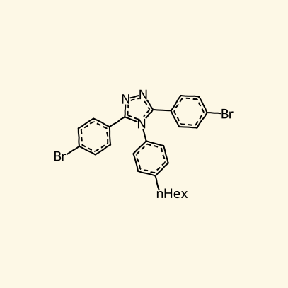 CCCCCCc1ccc(-n2c(-c3ccc(Br)cc3)nnc2-c2ccc(Br)cc2)cc1